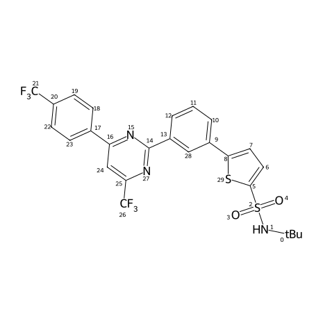 CC(C)(C)NS(=O)(=O)c1ccc(-c2cccc(-c3nc(-c4ccc(C(F)(F)F)cc4)cc(C(F)(F)F)n3)c2)s1